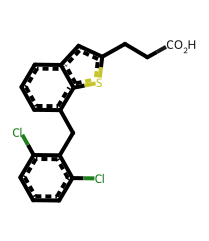 O=C(O)CCc1cc2cccc(Cc3c(Cl)cccc3Cl)c2s1